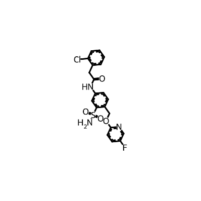 NS(=O)(=O)c1cc(NC(=O)Cc2ccccc2Cl)ccc1COc1ccc(F)cn1